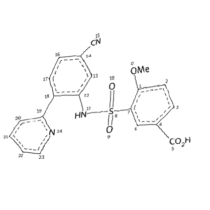 COc1ccc(C(=O)O)cc1S(=O)(=O)Nc1cc(C#N)ccc1-c1ccccn1